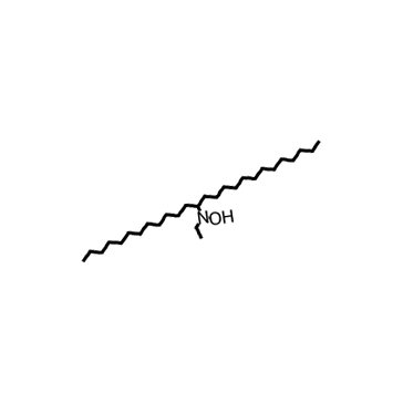 CCCCCCCCCCCCCC(CCCCCCCCCCCC)N(O)CC